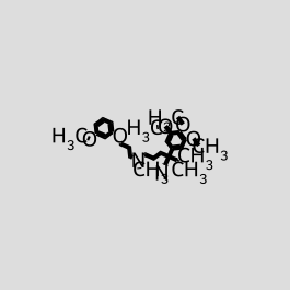 COc1cccc(OCCCN(C)CCCC(C#N)(c2cc(OC)c(OC)c(OC)c2)C(C)C)c1